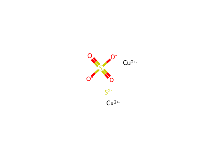 O=S(=O)([O-])[O-].[Cu+2].[Cu+2].[S-2]